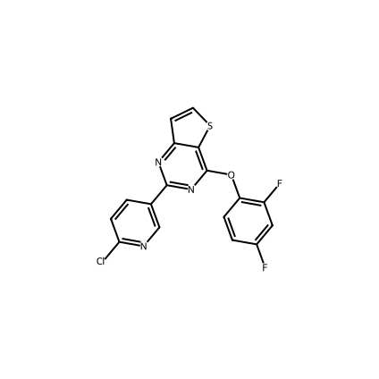 Fc1ccc(Oc2nc(-c3ccc(Cl)nc3)nc3ccsc23)c(F)c1